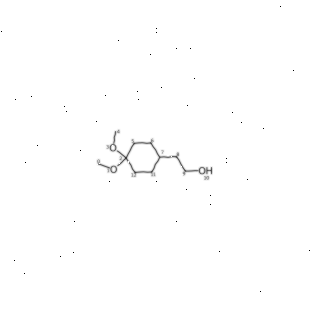 COC1(OC)CCC(CCO)CC1